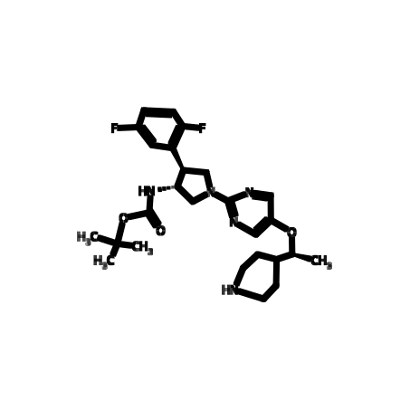 C[C@H](Oc1cnc(N2C[C@H](NC(=O)OC(C)(C)C)[C@@H](c3cc(F)ccc3F)C2)nc1)C1CCNCC1